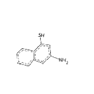 Nc1cc(S)c2ccccc2c1